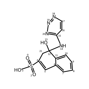 O=S(=O)(O)C1=Cc2ccccc2C(O)(Nc2ccnnn2)C1